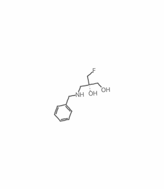 OC[C@](O)(CF)CNCc1ccccc1